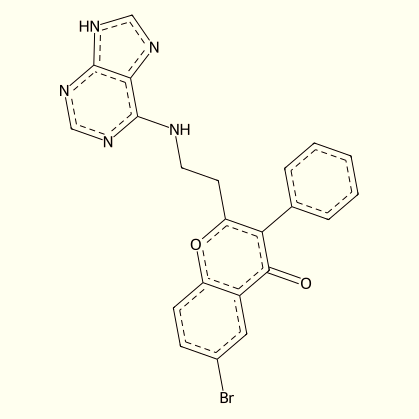 O=c1c(-c2ccccc2)c(CCNc2ncnc3[nH]cnc23)oc2ccc(Br)cc12